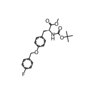 COC(=O)[C@H](Cc1ccc(OCc2ccc(F)cc2)cc1)NC(=O)OC(C)(C)C